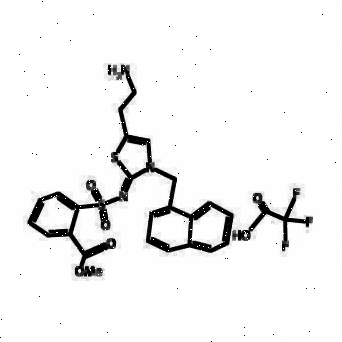 COC(=O)c1ccccc1S(=O)(=O)N=c1sc(CCN)cn1Cc1cccc2ccccc12.O=C(O)C(F)(F)F